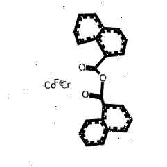 O=C(OC(=O)c1cccc2ccccc12)c1cccc2ccccc12.[Co].[Cr].[Fe]